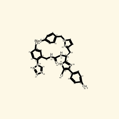 COc1ccc(Cn2ccc(C[C@H](NC(=O)NCc3cc(Cl)ccc3-n3cnnn3)c3nc(-c4ccc(C)cc4)c(Cl)[nH]3)n2)cc1